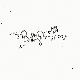 O=CNc1cccc(C(=NOCC(F)(F)F)C(=O)NC2C(=O)N3C(C(=O)O)=C(CSc4nnnn4CC(=O)O)CS[C@@H]23)n1